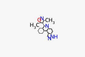 Cc1noc(C)c1-c1nc2ccc3[nH]ncc3c2c2c1CCCC2